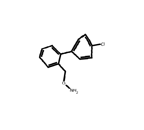 NOCc1ccccc1-c1ccc(Cl)cc1